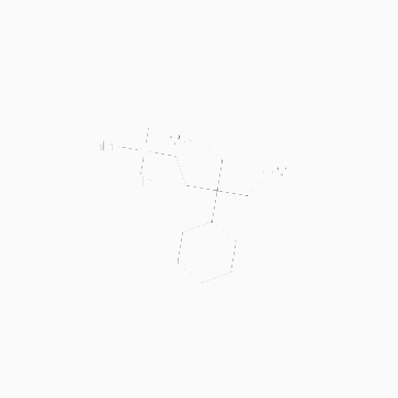 COCC(CC[Si](C(C)C)(C(C)C)C(C)C)(COC)C1CCCCC1